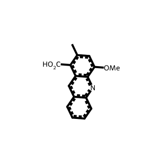 COc1cc(C)c(C(=O)O)c2cc3ccccc3nc12